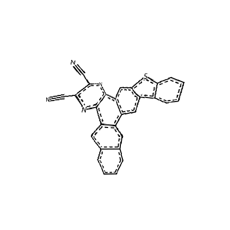 N#Cc1nc2c3cc4ccccc4cc3c3cc4c(cc3c2nc1C#N)sc1ccccc14